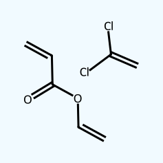 C=C(Cl)Cl.C=COC(=O)C=C